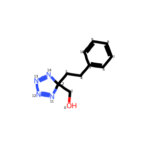 OCC1(CCc2ccccc2)N=NN=N1